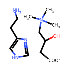 C[N+](C)(C)CC(O)CC(=O)[O-].NCCc1c[nH]cn1